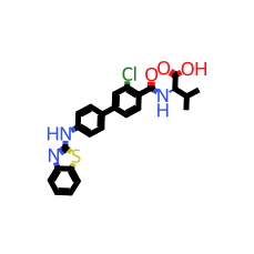 CC(C)[C@H](NC(=O)c1ccc(-c2ccc(Nc3nc4ccccc4s3)cc2)cc1Cl)C(=O)O